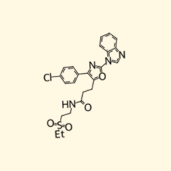 CCS(=O)(=O)CCNC(=O)CCc1oc(-n2cnc3ccccc32)nc1-c1ccc(Cl)cc1